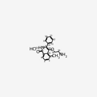 Cc1cccc2c(=O)[nH]c(-c3ccccc3)c(OCCN)c12.Cl